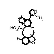 Cn1nccc1-c1cc2c(n3cnnc13)N(C(=O)O)Cc1c(F)ccc3c1[C@@H](CO3)CO2